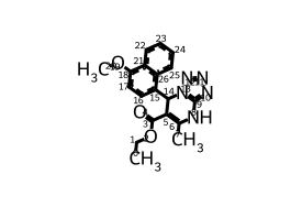 CCOC(=O)C1=C(C)Nc2nnnn2C1c1ccc(OC)c2ccccc12